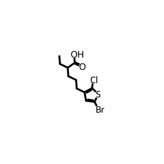 CCC(CCCc1cc(Br)sc1Cl)C(=O)O